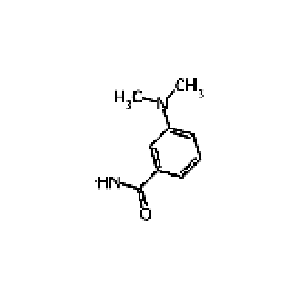 CN(C)c1cccc(C([NH])=O)c1